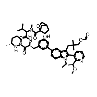 CCn1c(-c2cccnc2[C@H](C)OC)c(CC(C)(C)COC=O)c2cc(-c3cc(O)cc(C[C@H](NC(=O)C(C(C)C)N(C)C(=O)C45CCC(CO4)C5)C(=O)N4CCC[C@@H](C)N4)c3)ccc21